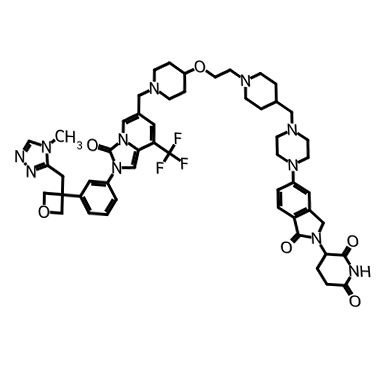 Cn1cnnc1CC1(c2cccc(-n3cc4c(C(F)(F)F)cc(CN5CCC(OCCN6CCC(CN7CCN(c8ccc9c(c8)CN(C8CCC(=O)NC8=O)C9=O)CC7)CC6)CC5)cn4c3=O)c2)COC1